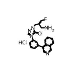 Cl.NC/C(=C\F)Cn1ncn(-c2cccc(-c3cncc4ccccc34)c2)c1=O